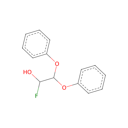 OC(F)C(Oc1ccccc1)Oc1ccccc1